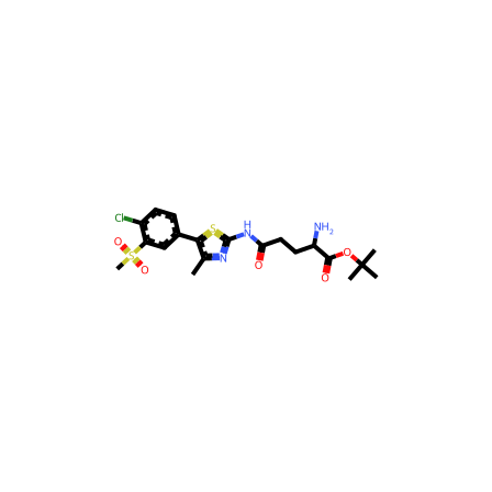 Cc1nc(NC(=O)CCC(N)C(=O)OC(C)(C)C)sc1-c1ccc(Cl)c(S(C)(=O)=O)c1